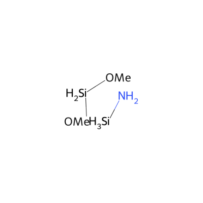 CO[SiH2]OC.N[SiH3]